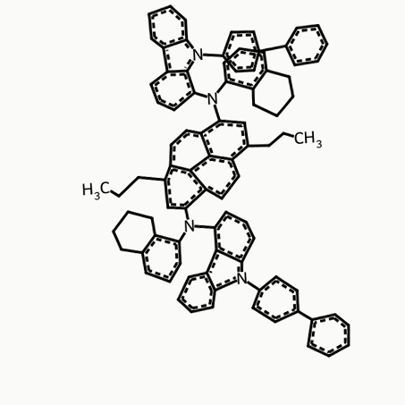 CCCc1cc(N(c2cccc3c2CCCC3)c2cccc3c2c2ccccc2n3-c2ccc(-c3ccccc3)cc2)c2ccc3c(CCC)cc(N(c4cccc5c4CCCC5)c4cccc5c6ccccc6n(-c6ccc(-c7ccccc7)cc6)c45)c4ccc1c2c34